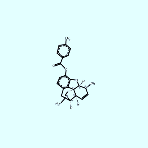 Cc1ccc(C(=O)Oc2ccc3c4c2O[C@H]2[C@@H](O)C=C[C@H]5[C@@H](C3)N(C)CC[C@@]452)cc1